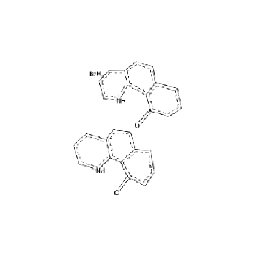 O=c1cccc2ccc3ccc[nH]c3c12.O=c1cccc2ccc3ccc[nH]c3c12.[BeH2]